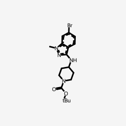 Cn1nc(NC2CCN(C(=O)OC(C)(C)C)CC2)c2ccc(Br)cc21